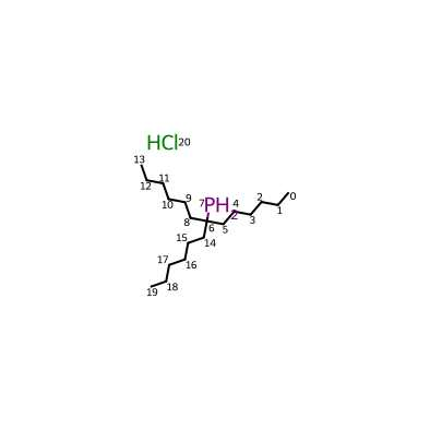 CCCCCCC(P)(CCCCCC)CCCCCC.Cl